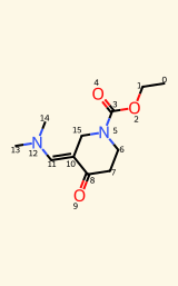 CCOC(=O)N1CCC(=O)C(=CN(C)C)C1